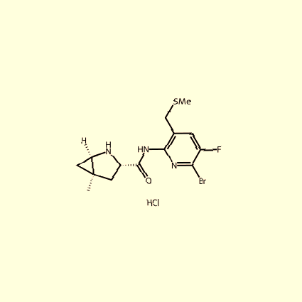 CSCc1cc(F)c(Br)nc1NC(=O)[C@@H]1C[C@@]2(C)C[C@H]2N1.Cl